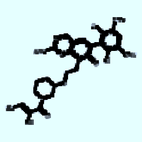 CNc1ncc2cc(-c3c(Cl)c(OC)cc(OC)c3Cl)c(=O)n(CCOC3CCCN(C(=O)C(C#N)=CC(C)(C)C)C3)c2n1